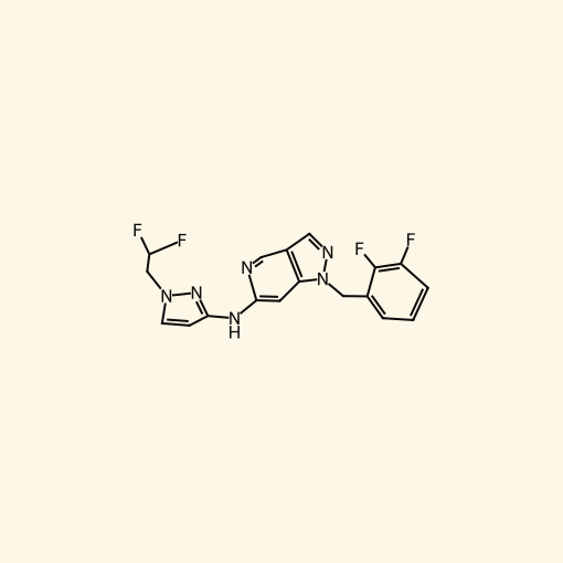 Fc1cccc(Cn2ncc3cnc(Nc4ccn(CC(F)F)n4)cc32)c1F